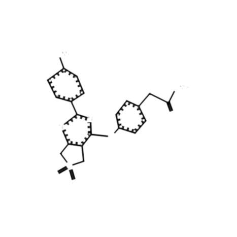 COC(=O)Cc1ccc(Oc2nc(-c3ccc(OC)cc3)nc3c2CS(=O)(=O)C3)cc1